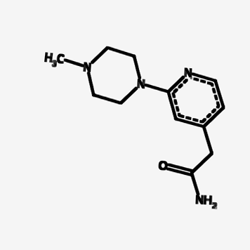 CN1CCN(c2cc(CC(N)=O)ccn2)CC1